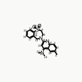 Cc1ccc2nc(N3CCS(=O)(=O)c4ccccc4C3)cc(N(C)C)c2c1